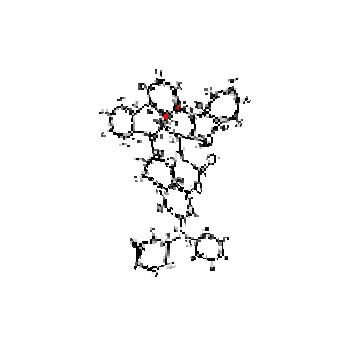 O=C1Oc2cc(N(c3ccccc3)c3ccccc3)cc3ccc4c(c23)N1c1c(ccc2c1oc1ccccc12)B4c1ccccc1-c1ccccc1